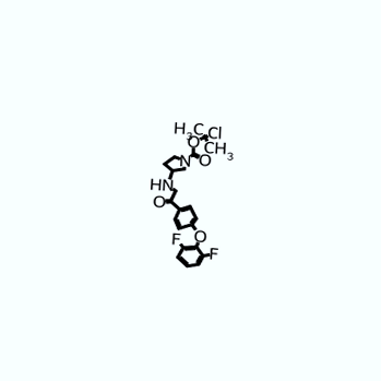 CC(C)(Cl)OC(=O)N1CCC(NCC(=O)c2ccc(Oc3c(F)cccc3F)cc2)C1